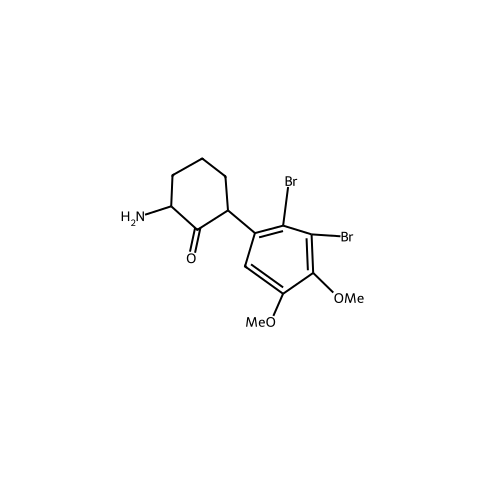 COc1cc(C2CCCC(N)C2=O)c(Br)c(Br)c1OC